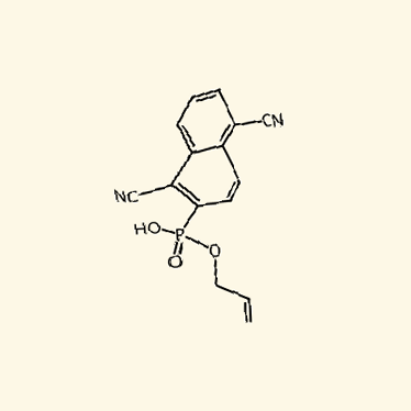 C=CCOP(=O)(O)c1ccc2c(C#N)cccc2c1C#N